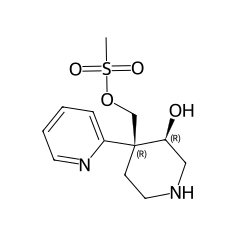 CS(=O)(=O)OC[C@]1(c2ccccn2)CCNC[C@@H]1O